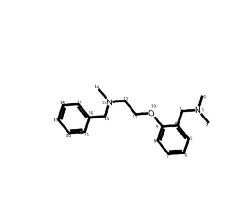 CN(C)Cc1ccccc1OCCN(C)Cc1ccccc1